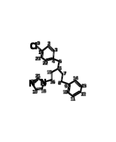 Clc1ccc(CC(CCc2ccccc2)CCn2ccnc2)cc1